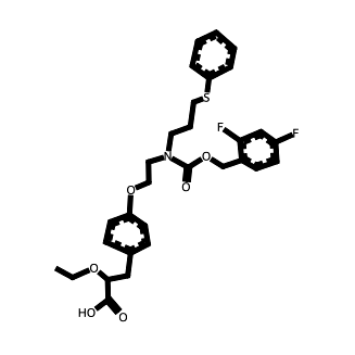 CCOC(Cc1ccc(OCCN(CCCSc2ccccc2)C(=O)OCc2ccc(F)cc2F)cc1)C(=O)O